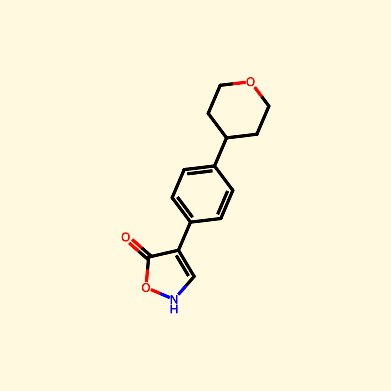 O=c1o[nH]cc1-c1ccc(C2CCOCC2)cc1